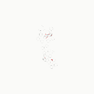 N#Cc1cc(C#N)c(-n2c3ccccc3c3ccc4c(c32)-c2ccccc2C4(c2ccccc2)c2ccccc2)c(-n2c3ccccc3c3ccc4c(c32)-c2ccccc2C4(c2ccccc2)c2ccc(-c3ccc(C4(c5ccccc5)c5ccccc5-c5c4ccc4c6ccccc6n(-c6cc(C#N)c(C#N)cc6-n6c7ccccc7c7ccc8c(c76)-c6ccccc6C8(c6ccccc6)c6ccccc6)c54)cc3)cc2)c1